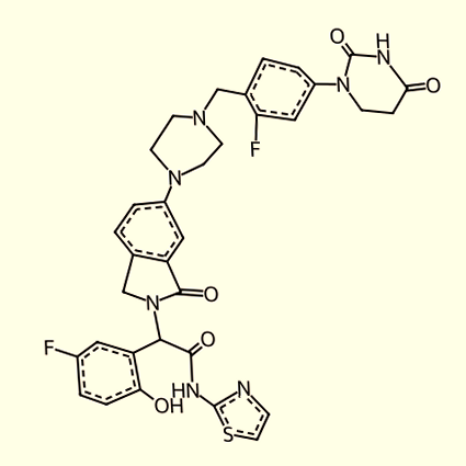 O=C1CCN(c2ccc(CN3CCN(c4ccc5c(c4)C(=O)N(C(C(=O)Nc4nccs4)c4cc(F)ccc4O)C5)CC3)c(F)c2)C(=O)N1